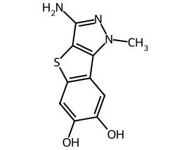 Cn1nc(N)c2sc3cc(O)c(O)cc3c21